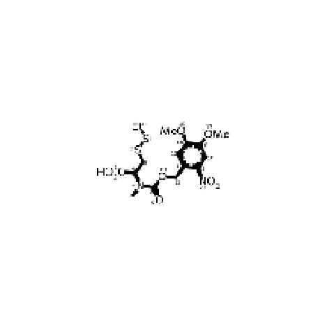 CCSSCC(C(=O)O)N(C)C(=O)OCc1cc(OC)c(OC)cc1[N+](=O)[O-]